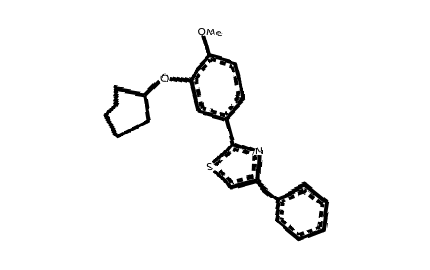 COc1ccc(-c2nc(-c3ccccc3)cs2)cc1OC1CCCC1